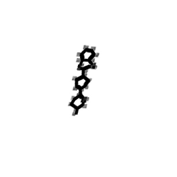 CC1CCC(c2ccc(-c3nc4ccccc4s3)cc2)=NC1